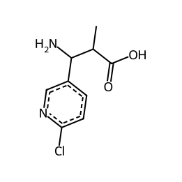 CC(C(=O)O)C(N)c1ccc(Cl)nc1